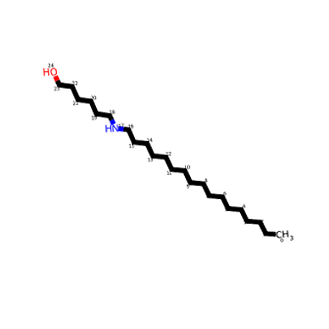 CCCCCCCCCCCCCCCCCNCCCCCCO